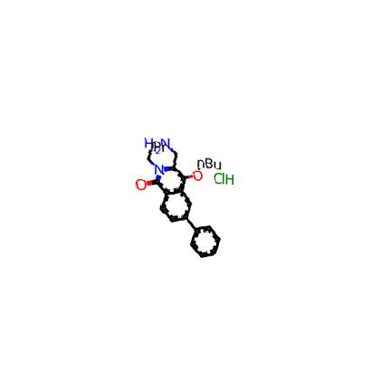 CCCCOc1c(CN)n(CC(C)C)c(=O)c2ccc(-c3ccccc3)cc12.Cl